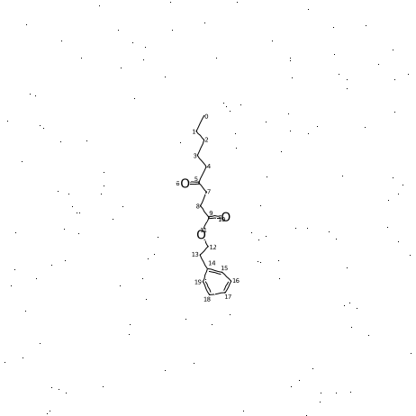 CCCCCC(=O)CCC(=O)OCCc1ccccc1